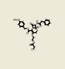 COc1ccc(COC(=O)C2=C(SCCOC(=O)CCl)CS[C@H]3[C@@H](NC(=O)Cc4ccccc4)C(=O)N23)cc1